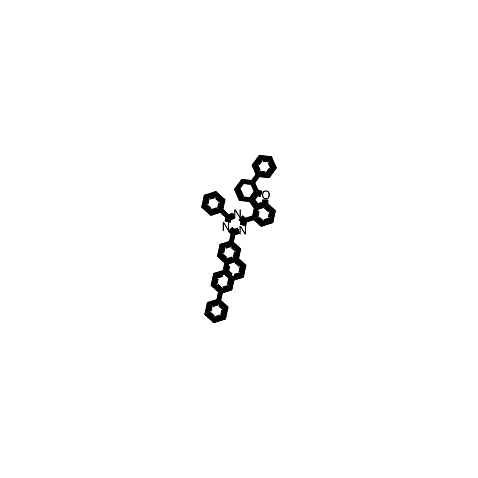 C1=Cc2c(oc3cccc(-c4nc(-c5ccccc5)nc(-c5ccc6c(ccc7cc(-c8ccccc8)ccc76)c5)n4)c23)C(c2ccccc2)C1